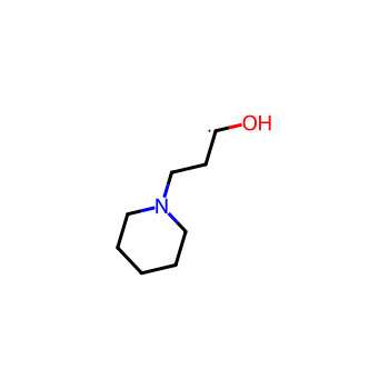 O[CH]CCN1CCCCC1